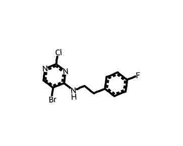 Fc1ccc(CCNc2nc(Cl)ncc2Br)cc1